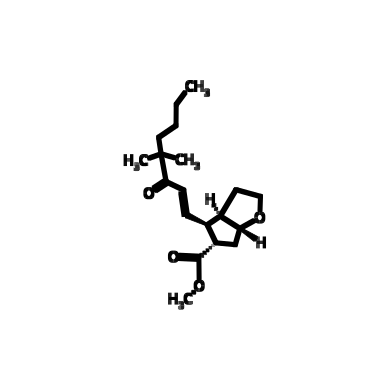 CCCCC(C)(C)C(=O)C=C[C@H]1[C@H]2CCO[C@@H]2C[C@@H]1C(=O)OC